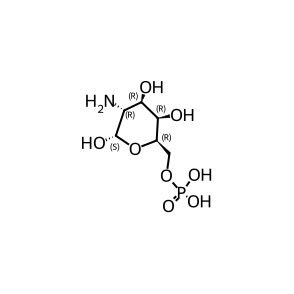 N[C@@H]1[C@@H](O)[C@@H](O)[C@@H](COP(=O)(O)O)O[C@@H]1O